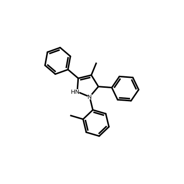 CC1=C(c2ccccc2)NN(c2ccccc2C)C1c1ccccc1